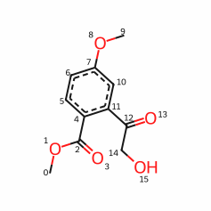 COC(=O)c1ccc(OC)cc1C(=O)CO